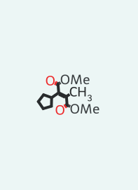 COC(=O)C(C)=C(C(=O)OC)C1CCCC1